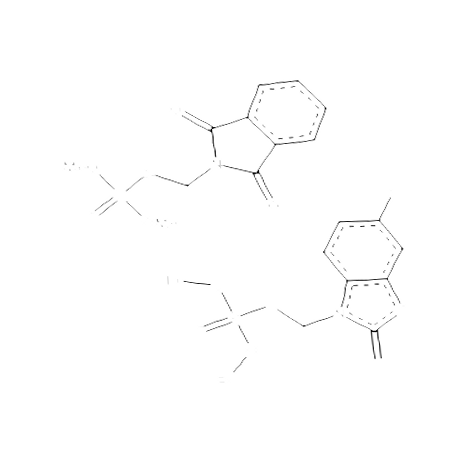 CCOP(=S)(OCC)SCn1c(=O)oc2cc(Cl)ccc21.COP(=S)(OC)SCN1C(=O)c2ccccc2C1=O